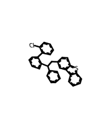 Clc1ccccc1-c1ccccc1C(Cc1ccc2sc3ccccc3c2c1)c1ccccc1